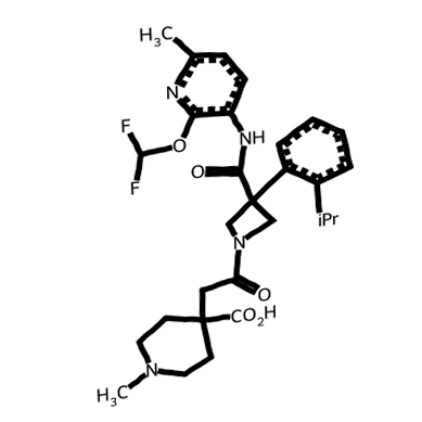 Cc1ccc(NC(=O)C2(c3ccccc3C(C)C)CN(C(=O)CC3(C(=O)O)CCN(C)CC3)C2)c(OC(F)F)n1